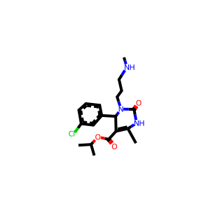 CNCCCN1C(=O)NC(C)=C(C(=O)OC(C)C)C1c1cccc(Cl)c1